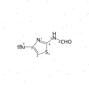 CC(C)(C)c1csc(NC=O)n1